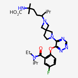 CCN(C(=O)c1cc(F)ccc1Oc1nncnc1N1CCC2(C1)CN(C(CCC(C)(C)NC(=O)O)C(C)C)C2)C(C)C